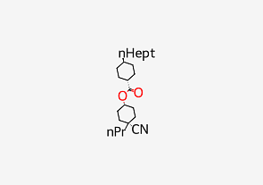 CCCCCCC[C@H]1CC[C@H](C(=O)O[C@H]2CC[C@](C#N)(CCC)CC2)CC1